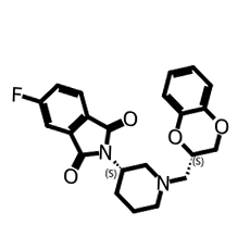 O=C1c2ccc(F)cc2C(=O)N1[C@H]1CCCN(C[C@H]2COc3ccccc3O2)C1